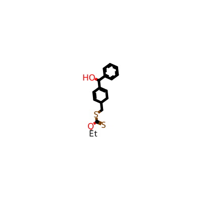 CCOC(=S)SCC1C=CC(C(O)c2ccccc2)=CC1